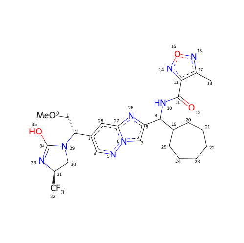 COC[C@H](c1cnn2cc(C(NC(=O)c3nonc3C)C3CCCCCC3)nc2c1)N1C[C@@H](C(F)(F)F)N=C1O